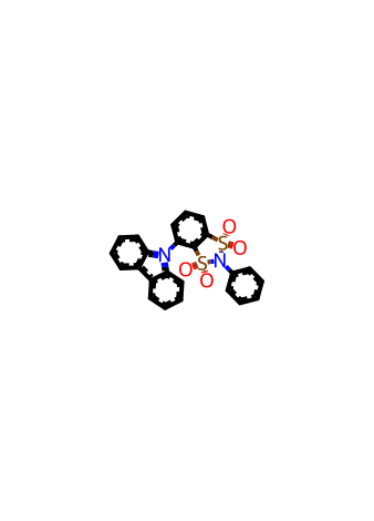 O=S1(=O)c2cccc(-n3c4ccccc4c4ccccc43)c2S(=O)(=O)N1c1ccccc1